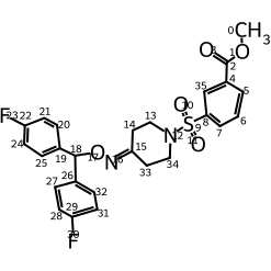 COC(=O)c1cccc(S(=O)(=O)N2CCC(=NOC(c3ccc(F)cc3)c3ccc(F)cc3)CC2)c1